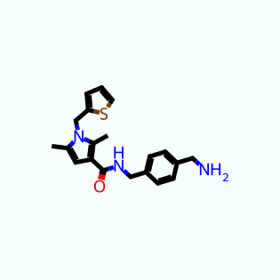 Cc1cc(C(=O)NCc2ccc(CN)cc2)c(C)n1Cc1cccs1